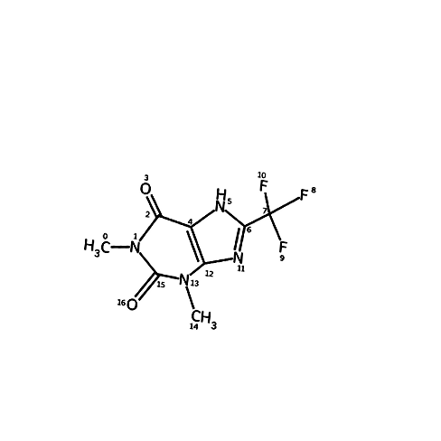 Cn1c(=O)c2[nH]c(C(F)(F)F)nc2n(C)c1=O